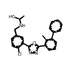 Cc1c(-c2ccccc2)cccc1-c1nnc(-c2cc(CNC(C)O)ccc2Cl)o1